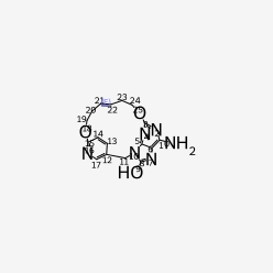 Nc1nc2nc3c1nc(O)n3Cc1ccc(nc1)OCC/C=C/CCO2